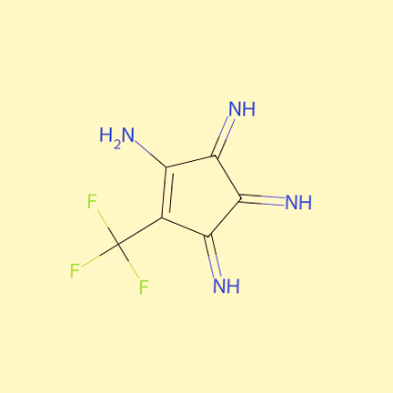 N=c1c(N)c(C(F)(F)F)c(=N)c1=N